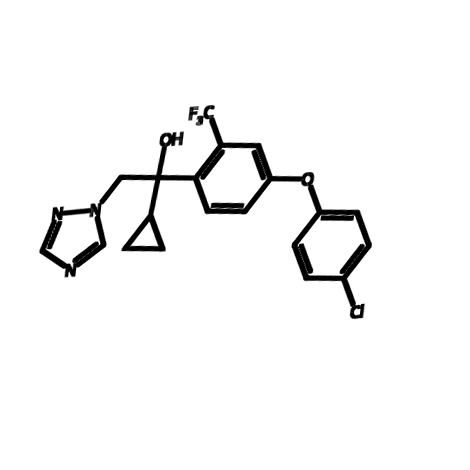 OC(Cn1cncn1)(c1ccc(Oc2ccc(Cl)cc2)cc1C(F)(F)F)C1CC1